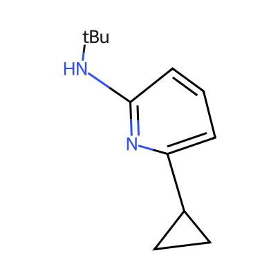 CC(C)(C)Nc1cccc(C2CC2)n1